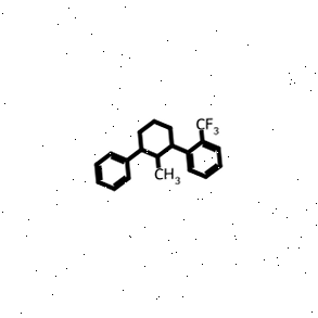 CC1C(c2ccccc2)CCCC1c1ccccc1C(F)(F)F